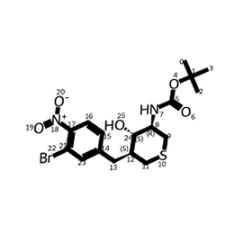 CC(C)(C)OC(=O)N[C@H]1CSC[C@@H](Cc2ccc([N+](=O)[O-])c(Br)c2)[C@@H]1O